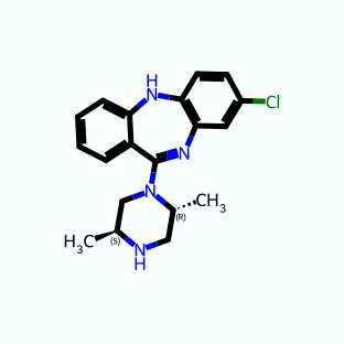 C[C@@H]1CN[C@@H](C)CN1C1=Nc2cc(Cl)ccc2Nc2ccccc21